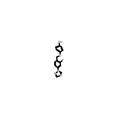 Oc1ccc(OCc2ccc(-n3cncn3)cc2F)cc1